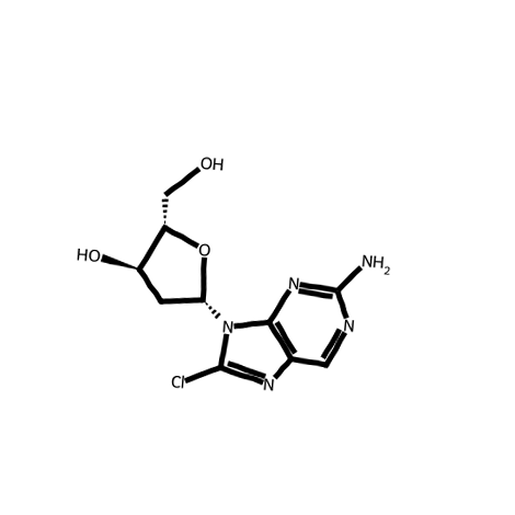 Nc1ncc2nc(Cl)n([C@@H]3C[C@@H](O)[C@H](CO)O3)c2n1